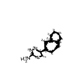 NC1=NN=C(c2ccc3ccccc3c2)CS1